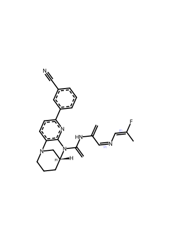 C=C(/C=N\C=C(/C)F)NC(=C)N1c2nc(-c3cccc(C#N)c3)ccc2N2CCC[C@@H]1C2